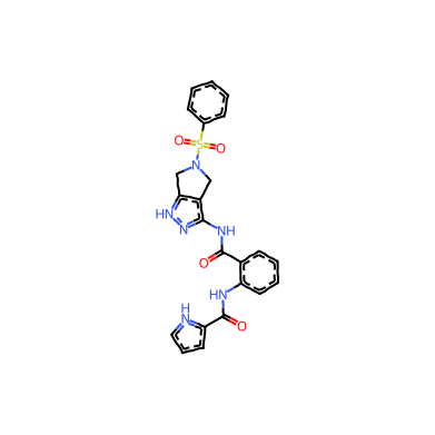 O=C(Nc1ccccc1C(=O)Nc1n[nH]c2c1CN(S(=O)(=O)c1ccccc1)C2)c1ccc[nH]1